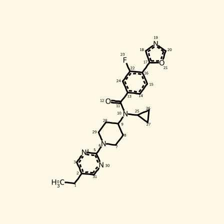 CCc1cnc(N2CCC(N(C(=O)c3ccc(-c4cnco4)c(F)c3)C3CC3)CC2)nc1